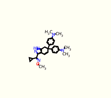 CON=C(c1n[nH]c2c1C=CC(c1ccc(N(C)C)cc1)(c1ccc(N(C)C)cc1)C2)C1CC1